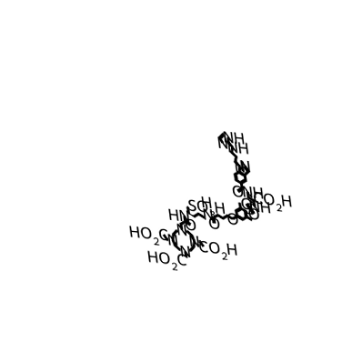 Cc1cc(OCCCC(=O)NCCC[C@H](CS(=O)(=O)O)NC(=O)CN2CCN(CC(=O)O)CCN(CC(=O)O)CCN(CC(=O)O)CC2)cc(C)c1S(=O)(=O)N[C@@H](CNC(=O)c1ccc2c(cnn2CCCNc2ncc[nH]2)c1)C(=O)O